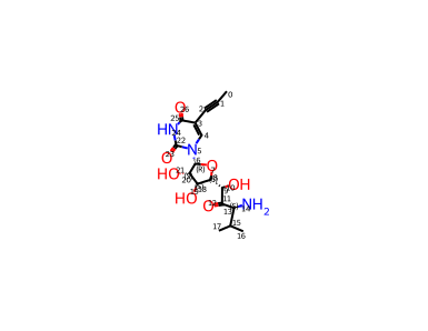 CC#Cc1cn([C@@H]2O[C@H](C(O)C(=O)[C@@H](N)C(C)C)[C@@H](O)[C@@H]2O)c(=O)[nH]c1=O